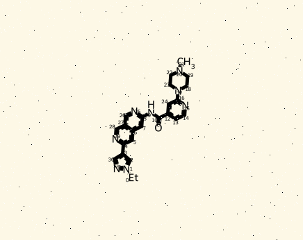 CCn1cc(-c2cc3cc(NC(=O)c4ccnc(N5CCN(C)CC5)c4)ncc3cn2)cn1